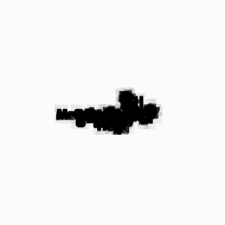 COC(=O)c1ccc(CNc2ccc(C[C@H](NC(=O)[C@H](C)N(C)C(=O)OC(C)(C)C)C(=O)N3Cc4ccccc4C[C@H]3C(=O)N[C@@H]3CCCc4ccccc43)cc2)cc1